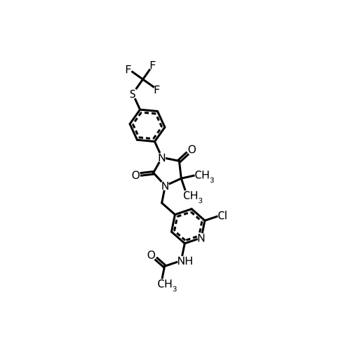 CC(=O)Nc1cc(CN2C(=O)N(c3ccc(SC(F)(F)F)cc3)C(=O)C2(C)C)cc(Cl)n1